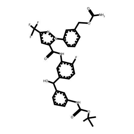 CC(C)(C)OC(=O)Nc1cccc(C(O)c2ccc(F)c(NC(=O)c3cc(C(F)(F)F)nn3-c3cccc(COC(N)=O)c3)c2)c1